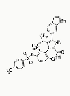 Cc1ccc(S(=O)(=O)n2ccc3c(-c4c(C(=O)O)[nH]c(-c5ccc6cc[nH]c6c5)c4C(C)C)c(Cl)ccc32)cc1